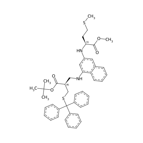 COC(=O)[C@H](CCSC)Nc1cc(NC[C@@H](CSC(c2ccccc2)(c2ccccc2)c2ccccc2)C(=O)OC(C)(C)C)c2ccccc2c1